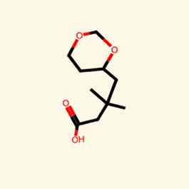 CC(C)(CC(=O)O)CC1CCOCO1